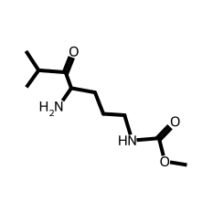 COC(=O)NCCCC(N)C(=O)C(C)C